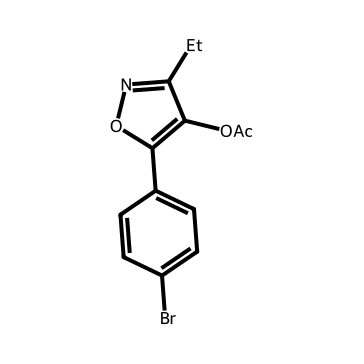 CCc1noc(-c2ccc(Br)cc2)c1OC(C)=O